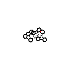 c1ccc(-n2c3ccccc3c3ccc(N(c4cccc5c4-c4c6ccccc6cc6cccc-5c46)c4cccc5c4sc4ccccc45)cc32)cc1